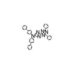 c1ccc(-c2ccc(N(c3ccc(-c4ccccc4)cc3)c3cnc(-c4nc(-c5ccccc5)nc(-c5ccccc5)n4)nc3)cc2)cc1